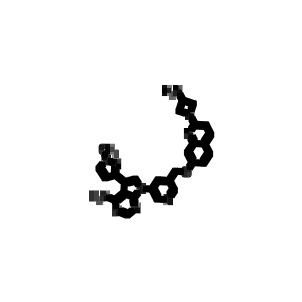 Cn1ccc(-c2cn(-c3cncc(COc4ccc5ccc(N6CC(N)C6)nc5c4)c3)c3ncnc(N)c23)n1